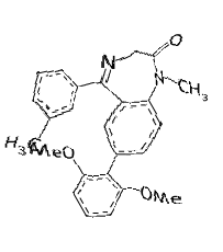 COc1cccc(OC)c1-c1ccc2c(c1)C(c1cccc(C)c1)=NCC(=O)N2C